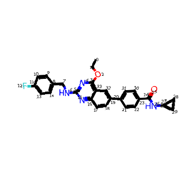 CCOc1nc(NCc2ccc(F)cc2)nc2ccc(-c3ccc(C(=O)NC4CC4)cc3)cc12